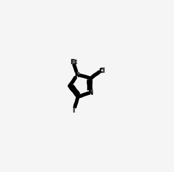 CCn1cc(I)nc1Cl